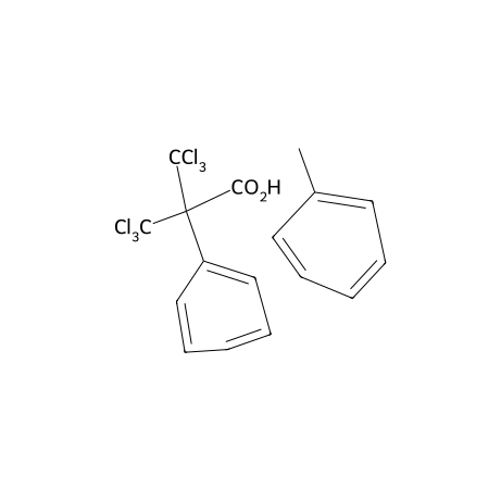 Cc1ccccc1.O=C(O)C(c1ccccc1)(C(Cl)(Cl)Cl)C(Cl)(Cl)Cl